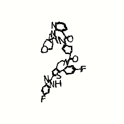 O=C(Nc1ccc(C(=O)N2CCc3cc(-c4nc5ccc(F)cc5[nH]4)sc3-c3ccc(F)cc32)cc1)c1cccnc1N1CC2(CCOCC2)C1